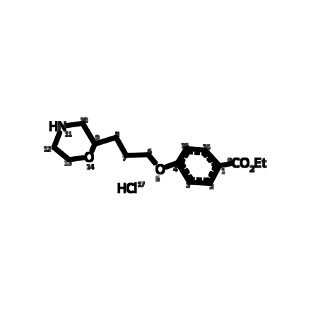 CCOC(=O)c1ccc(OCCCC2CNCCO2)cc1.Cl